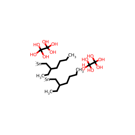 CCCCC(CC)[CH2][Sn].CCCCC(CC)[CH2][Sn].OC(O)(O)C(O)(O)O.OC(O)(O)C(O)(O)O